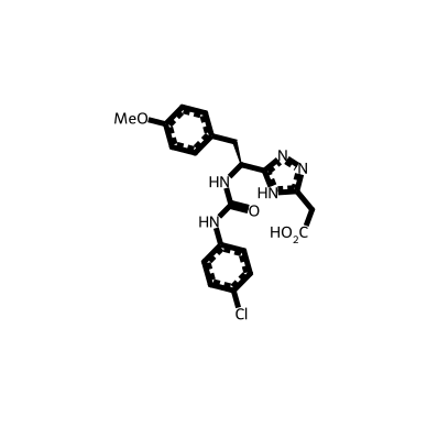 COc1ccc(C[C@H](NC(=O)Nc2ccc(Cl)cc2)c2nnc(CC(=O)O)[nH]2)cc1